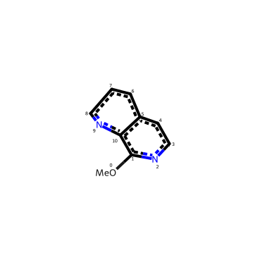 COc1n[c]cc2cccnc12